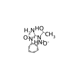 CC(O)N1C(N)=[N+]([O-])c2ccccc2[NH+]1[O-]